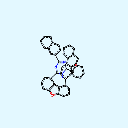 c1ccc(C2N=C(c3ccc4ccccc4c3)N=C(c3cccc4oc5cccc(-c6ccc7c(ccc8ccccc87)c6)c5c34)N2)cc1